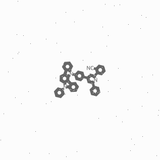 N#Cc1ccccc1-c1cc(-c2ccc(-n3c4ccccc4c4ccc5c(c6ccccc6n5-c5ccccc5)c43)cc2)cc(-c2ccccc2)n1